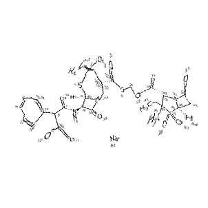 CC1(C)S[C@@H]2[C@H](NC(=O)C(C(=O)[O-])c3ccccc3)C(=O)N2[C@H]1C(=O)OCOC(=O)[C@@H]1N2C(=O)C[C@H]2S(=O)(=O)C1(C)C.[Na+]